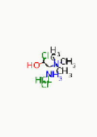 C[N+](C)(C)CC(O)Cl.Cl.N.[Cl-]